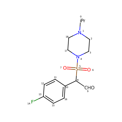 CC(C)N1CCN(S(=O)(=O)C(C=O)c2ccc(F)cc2)CC1